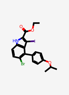 CCOC(=O)c1[nH]c2ccc(Br)c(-c3ccc(OC(C)C)cc3)c2c1I